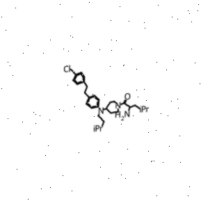 CC(C)CCN(c1ccc(CCc2ccc(Cl)cc2)cc1)C1CCN(C(=O)C(N)CC(C)C)CC1